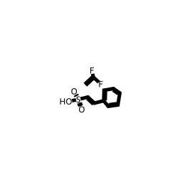 C=C(F)F.O=S(=O)(O)C=Cc1ccccc1